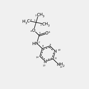 CC(C)(C)OC(=O)Nc1cnc(N)nc1